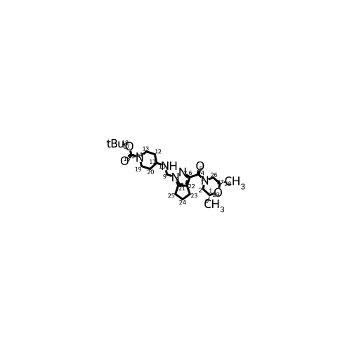 C[C@@H]1CN(C(=O)c2nn(CNC3CCN(C(=O)OC(C)(C)C)CC3)c3c2CCC3)C[C@H](C)O1